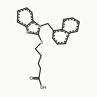 O=C(O)CCCCSc1nc2ccccc2n1Cc1cccc2ccccc12